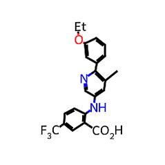 CCOc1cccc(-c2ncc(Nc3ccc(C(F)(F)F)cc3C(=O)O)cc2C)c1